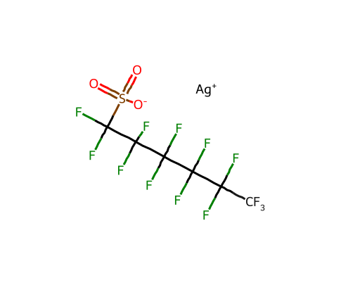 O=S(=O)([O-])C(F)(F)C(F)(F)C(F)(F)C(F)(F)C(F)(F)C(F)(F)F.[Ag+]